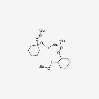 CC(C)(C)OOC1(OOC(C)(C)C)CCCCC1.CC(C)(C)OOC1CCCCC1OOC(C)(C)C